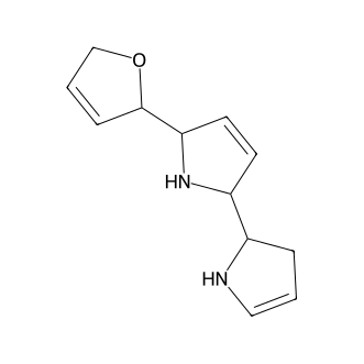 C1=CC(C2C=CC(C3CC=CN3)N2)OC1